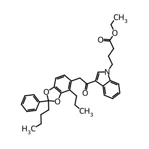 CCCCC1(c2ccccc2)Oc2ccc(CC(=O)c3cn(CCCC(=O)OCC)c4ccccc34)c(CCC)c2O1